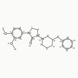 COc1ccc(N2CCN(N3CCCC(Cc4ccccc4)C3)C2=O)cc1OC